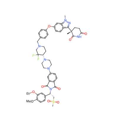 CCOc1cc([C@@H](CS(C)(=O)=O)N2C(=O)c3ccc(N4CCN([C@H]5CCN(Cc6ccc(Oc7ccc8c([C@]9(C)CCC(=O)NC9=O)nn(C)c8c7)cc6)CC5(F)F)CC4)cc3C2=O)ccc1OC